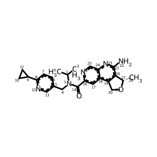 CC(C)N(Cc1ccc(C2CC2)nc1)C(=O)c1cc2c3c(c(N)nc2cn1)[C@H](C)OC3